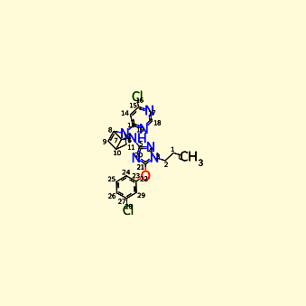 CCCn1nc(NC2C3=CC2CN3c2cc(Cl)ncn2)nc1Oc1cccc(Cl)c1